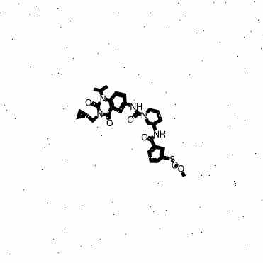 COOSc1cccc(C(=O)NC2CCCN(C(=O)Nc3ccc4c(c3)c(=O)n(CC3CC3)c(=O)n4C(C)C)C2)c1